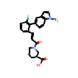 Cn1ccc2cc(-c3c(Cl)[c]ccc3/C=C/C(=O)N3CCCC(C(=O)O)C3)ccc21